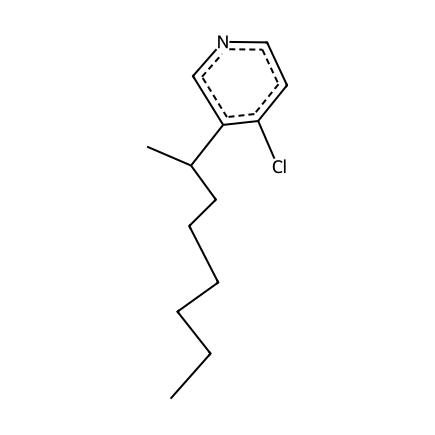 CCCCCCC(C)c1cnccc1Cl